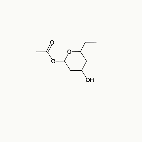 CCC1CC(O)CC(OC(C)=O)O1